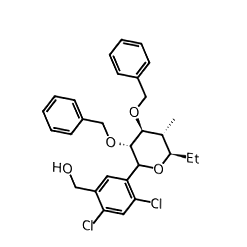 CC[C@H]1OC(c2cc(CO)c(Cl)cc2Cl)[C@H](OCc2ccccc2)[C@@H](OCc2ccccc2)[C@@H]1C